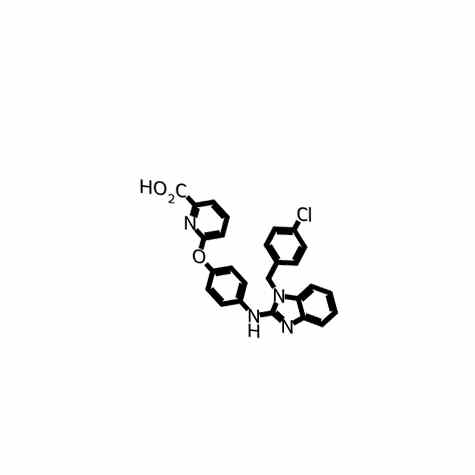 O=C(O)c1cccc(Oc2ccc(Nc3nc4ccccc4n3Cc3ccc(Cl)cc3)cc2)n1